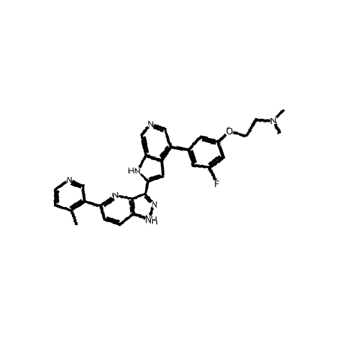 Cc1ccncc1-c1ccc2[nH]nc(-c3cc4c(-c5cc(F)cc(OCCN(C)C)c5)cncc4[nH]3)c2n1